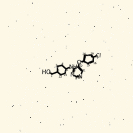 OCC1CCC(Nc2ncncc2Oc2ccc(Cl)cc2)CC1